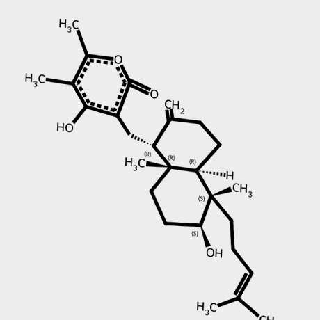 C=C1CC[C@@H]2[C@](C)(CC[C@H](O)[C@@]2(C)CCC=C(C)C)[C@@H]1Cc1c(O)c(C)c(C)oc1=O